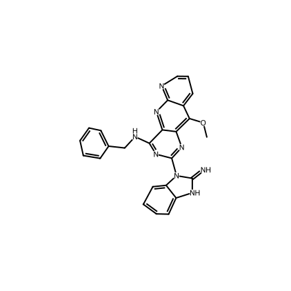 COc1c2cccnc2nc2c(NCc3ccccc3)nc(-n3c(=N)[nH]c4ccccc43)nc12